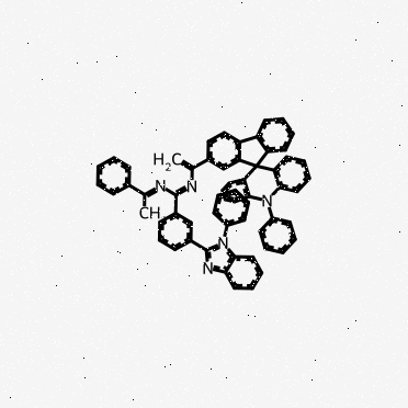 C=C(/N=C(\N=C(/C)c1ccccc1)c1cccc(-c2nc3ccccc3n2-c2ccccc2)c1)c1ccc2c(c1)C1(c3ccccc3-2)c2ccccc2N(c2ccccc2)c2ccccc21